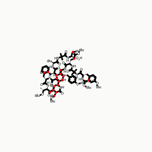 CC[C@H](C)[C@H](NC(=O)[C@H](COC(C)(C)C)NC(=O)[C@H](Cc1ccc(OC(C)(C)C)cc1)NC(=O)[C@H](CC(=O)OC(C)(C)C)NC(=O)[C@H](COC(C)(C)C)NC(=O)[C@@H](NC(=O)[C@H](Cc1ccccc1)NC(=O)[C@@H](NC(=O)CNC(=O)[C@H](CCC(=O)OC(C)(C)C)NC(=O)C(C)(C)NC(=O)[C@H](Cc1ccc(OC(C)(C)C)cc1)NC(=O)OC(C)(C)C)[C@@H](C)OC(C)(C)C)[C@@H](C)OC(C)(C)C)C(=O)NC(C)(C)C(=O)N[C@@H](CC(C)C)C(=O)O